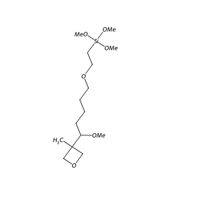 COC(CCCCOCC[Si](OC)(OC)OC)C1(C)COC1